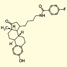 C[C@]12CC[C@@H]3c4ccc(O)cc4CC[C@H]3[C@@H]1C(CCCCNC(=O)c1ccc(F)cc1)CC2=O